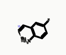 CC[C@@H](C)/C=C\c1cc(F)ccc1N